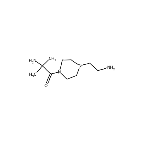 CC(C)(N)C(=O)N1CCN(CCN)CC1